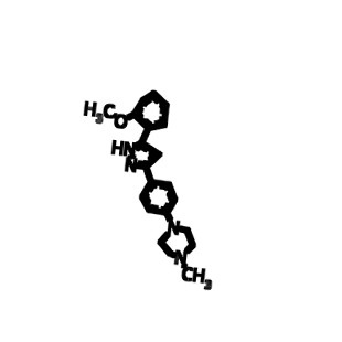 COc1ccccc1-c1cc(-c2ccc(N3CCN(C)CC3)cc2)n[nH]1